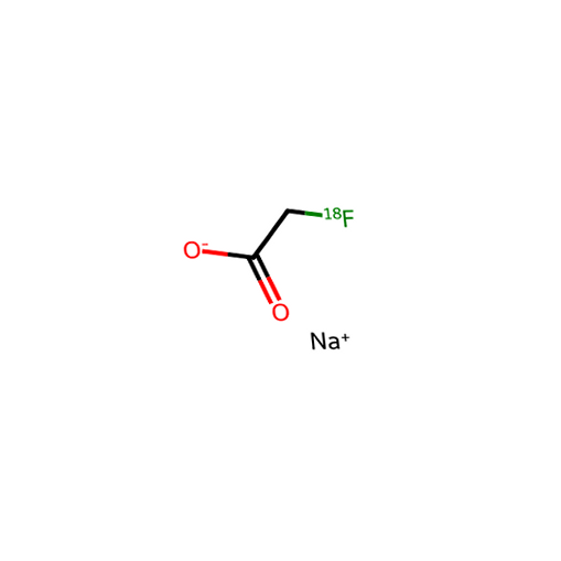 O=C([O-])C[18F].[Na+]